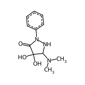 CN(C)C1NN(c2ccccc2)C(=O)C1(O)O